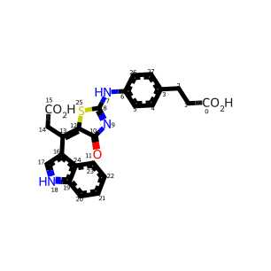 O=C(O)CCc1ccc(NC2=NC(=O)C(=C(CC(=O)O)c3c[nH]c4ccccc34)S2)cc1